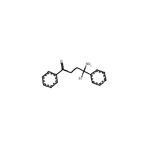 CCC(CCC(=O)c1ccccc1)(c1ccccc1)[N+](=O)[O-]